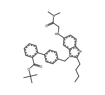 CCCCc1nc2ccc(NCC(=O)N(C)C)cc2n1Cc1ccc(-c2ccccc2C(=O)OC(C)(C)C)cc1